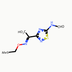 CSCON=C(C(=O)O)c1nsc(NC=O)n1